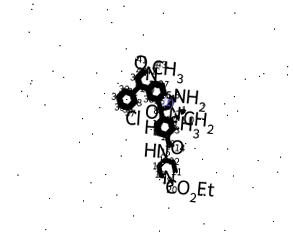 C=CN(C)/C(=C\N)C(O)(c1ccc(C(=O)NC2CCN(C(=O)OCC)CC2)cc1)c1ccc2c(c1)c(-c1cccc(Cl)c1)cc(=O)n2C